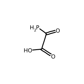 O=C(O)C(=O)P